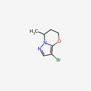 CC1CCOc2c(Br)cnn21